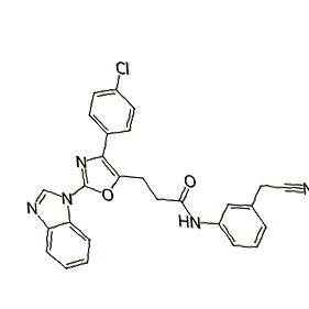 N#CCc1cccc(NC(=O)CCc2oc(-n3cnc4ccccc43)nc2-c2ccc(Cl)cc2)c1